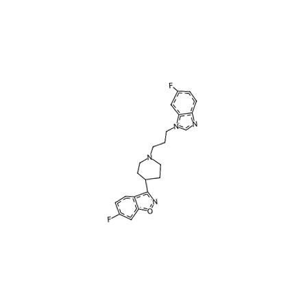 Fc1ccc2c(C3CCN(CCCn4cnc5ccc(F)cc54)CC3)noc2c1